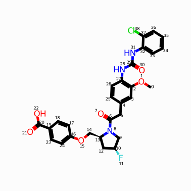 COc1cc(CC(=O)N2C[C@@H](F)C[C@H]2COc2ccc(C(=O)O)cc2)ccc1NC(=O)Nc1ccccc1Cl